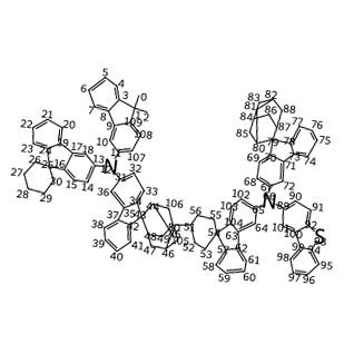 CC1(C)c2ccccc2-c2cc(N(c3ccc4c(c3)-c3ccccc3C43CCCCC3)c3ccc4c(c3)-c3ccccc3C43C4CC5CC3CC(C3CCC6(CC3)c3ccccc3-c3cc(N(c7ccc8c(c7)-c7ccccc7C87C8CC9CC(C8)CC7C9)c7ccc8sc9ccccc9c8c7)ccc36)(C5)C4)ccc21